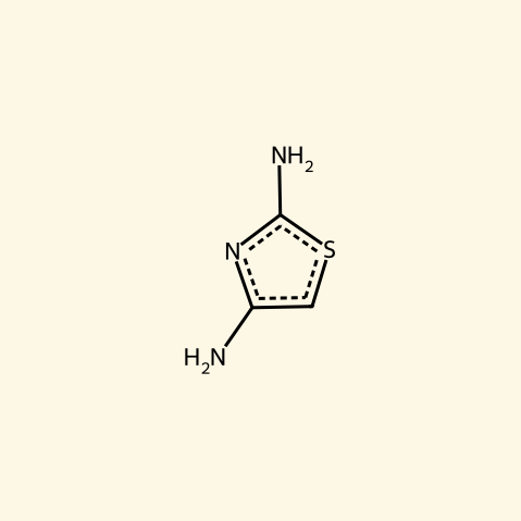 Nc1csc(N)n1